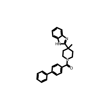 CC1(c2nc3ccccc3[nH]2)CCN(C(=O)c2ccc(-c3ccccc3)cc2)CC1